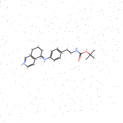 CC(C)(C)OC(=O)NCCc1ccc(/N=C2\CCCc3cnccc32)cc1